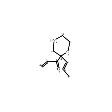 C=CC(=O)C1(C=CC)CNCCO1